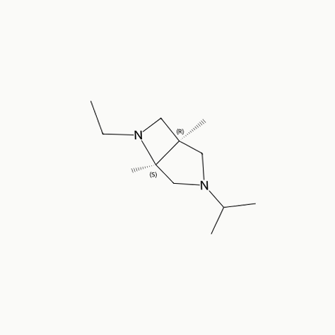 CCN1C[C@@]2(C)CN(C(C)C)C[C@@]12C